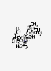 CC[N+](CC)(CC)CC.CC[N+](CC)(CC)CC.O=C(O)/C=C/C(=O)O